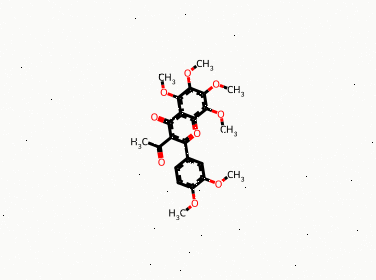 COc1ccc(-c2oc3c(OC)c(OC)c(OC)c(OC)c3c(=O)c2C(C)=O)cc1OC